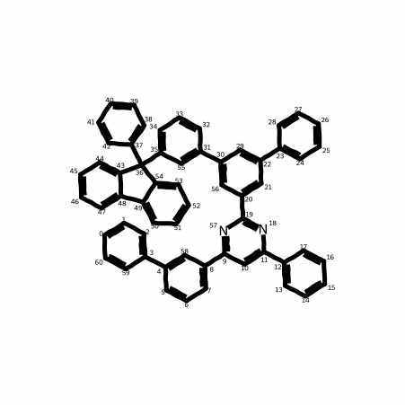 c1ccc(-c2cccc(-c3cc(-c4ccccc4)nc(-c4cc(-c5ccccc5)cc(-c5cccc(C6(c7ccccc7)c7ccccc7-c7ccccc76)c5)c4)n3)c2)cc1